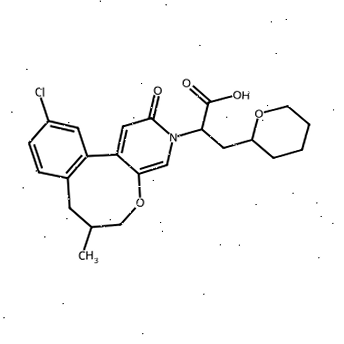 CC1COc2cn(C(CC3CCCCO3)C(=O)O)c(=O)cc2-c2cc(Cl)ccc2C1